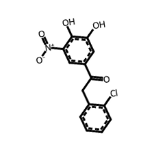 O=C(Cc1ccccc1Cl)c1cc(O)c(O)c([N+](=O)[O-])c1